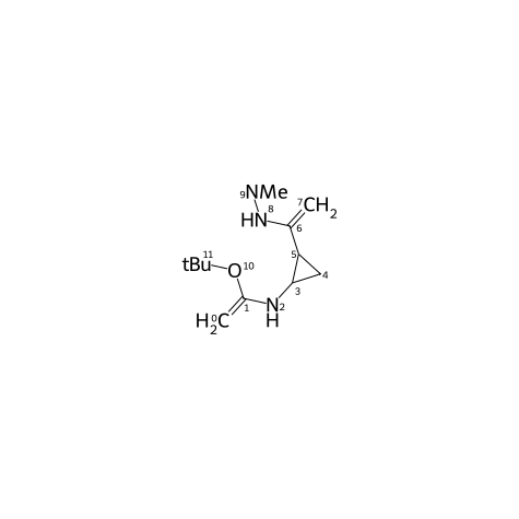 C=C(NC1CC1C(=C)NNC)OC(C)(C)C